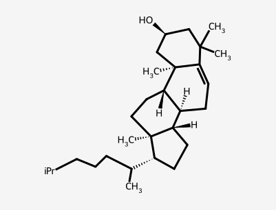 CC(C)CCCC(C)[C@H]1CC[C@H]2[C@@H]3CC=C4C(C)(C)C[C@H](O)C[C@]4(C)[C@H]3CC[C@]12C